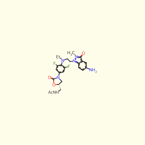 CCN(CCn1c2ccc(N)cc2c(=O)n1C)c1c(F)cc(N2C[C@H](CNC(C)=O)OC2=O)cc1F